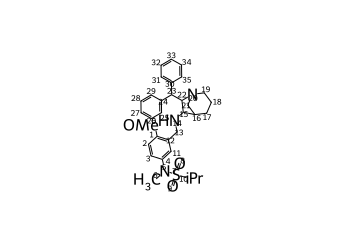 COc1ccc(N(C)S(=O)(=O)C(C)C)cc1CNC1C2CCCN(C2)C1C(c1ccccc1)c1ccccc1